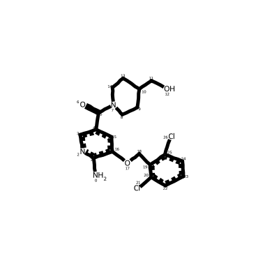 Nc1ncc(C(=O)N2CCC(CO)CC2)cc1OCc1c(Cl)cccc1Cl